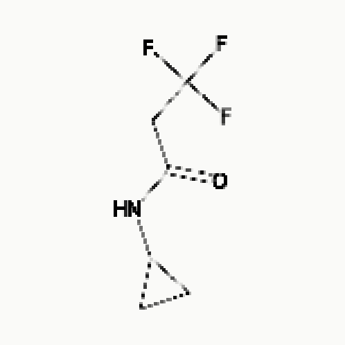 O=C(CC(F)(F)F)NC1CC1